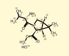 COC(=O)[C@@H]1[C@@H]2[C@H](CN1C(=O)[C@@H](N)C(C)C)C2(C)C.Cl